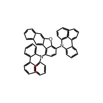 c1ccc(-c2ccccc2N(c2ccccc2)c2ccc(N(c3ccccc3)c3ccccc3-c3ccccc3)c3c2oc2cc4ccccc4cc23)cc1